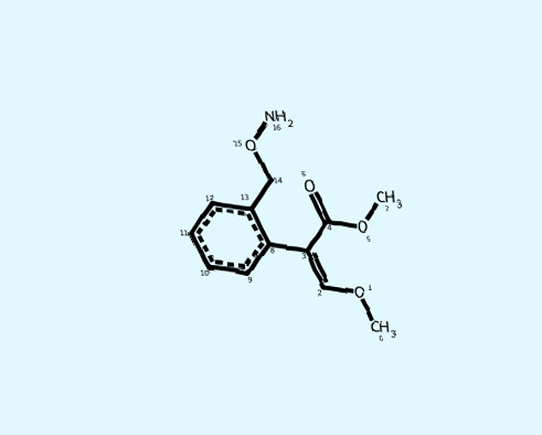 COC=C(C(=O)OC)c1ccccc1CON